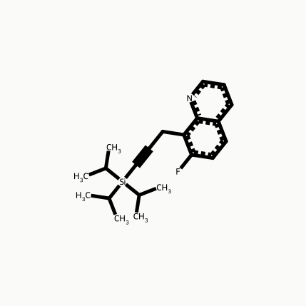 CC(C)[Si](C#CCc1c(F)ccc2cccnc12)(C(C)C)C(C)C